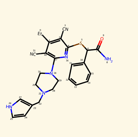 CCc1c(C#N)c(SC(C(N)=O)c2ccccc2)nc(N2CCN(Cc3cc[nH]c3)CC2)c1C#N